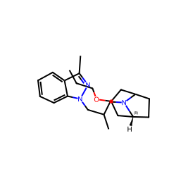 CCCOC1CC2CC[C@H](C1)N2CC(C)Cn1nc(C)c2ccccc21